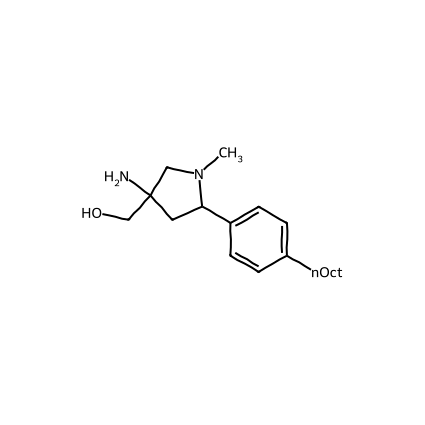 CCCCCCCCc1ccc(C2CC(N)(CO)CN2C)cc1